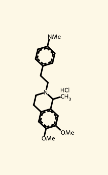 CNc1ccc(CCN2CCc3cc(OC)c(OC)cc3C2C)cc1.Cl